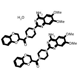 COc1cc2nc(N3CCN(C(=O)C4COc5ccccc5O4)CC3)nc(N)c2cc1OC.COc1cc2nc(N3CCN(C(=O)C4COc5ccccc5O4)CC3)nc(N)c2cc1OC.O